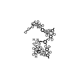 C=C1C[C@H]2[C@H](O)N(C(=O)OCc3ccc(NC(=O)[C@H](C)NC(=O)[C@@H](NC(=O)OCCOCCOC)C(C)C)cc3)c3cc(OCc4cc(C#CCN)cc(COc5cc6c(cc5OC)C(=O)N5CC(=C)C[C@H]5[C@H](O)N6C(=O)OCc5ccc(NC(=O)[C@H](C)NC(=O)[C@@H](NC(=O)OCCOCCOC)C(C)C)cc5)c4)c(OC)cc3C(=O)N2C1